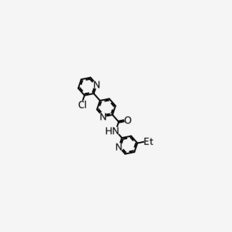 CCc1ccnc(NC(=O)c2ccc(-c3ncccc3Cl)cn2)c1